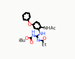 CCC(=O)N=C(NC(=O)OC(C)CC)Nc1cc(Oc2ccccc2)ccc1NC(C)=O